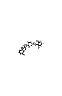 O=C(Nc1cccc(I)c1)NC1CCC(OCc2c(F)cccc2F)CC1